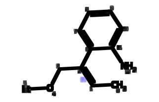 C/C=C(/COCC)c1ccccc1N